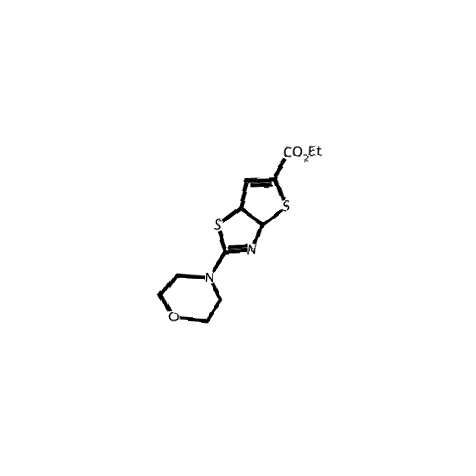 CCOC(=O)C1=CC2SC(N3CCOCC3)=NC2S1